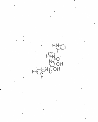 O=C(NCc1ccc(F)cc1F)C1=CN2C[C@H]3OC[C@H](Cc4c[nH]c5ccccc45)N3C(=O)C2=C(O)C1O